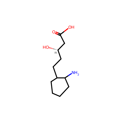 NC1CCCCC1CC[C@H](O)CC(=O)O